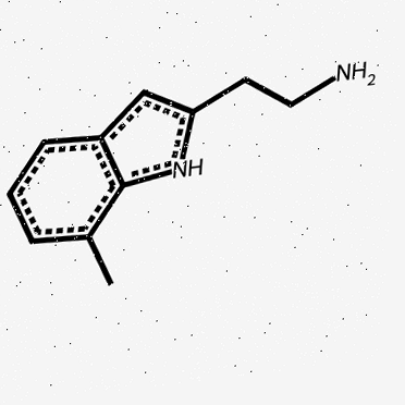 Cc1cccc2cc(CCN)[nH]c12